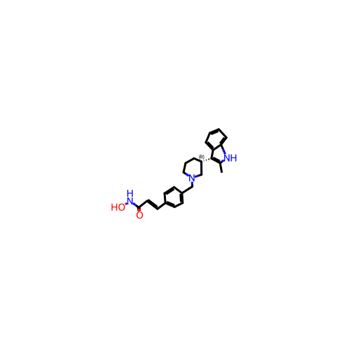 Cc1[nH]c2ccccc2c1[C@H]1CCCN(Cc2ccc(C=CC(=O)NO)cc2)C1